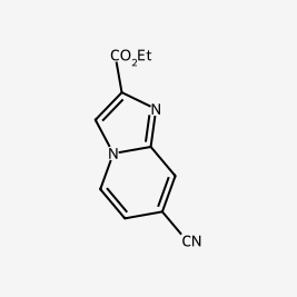 CCOC(=O)c1cn2ccc(C#N)cc2n1